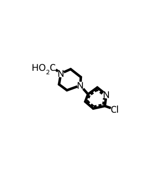 O=C(O)N1CCN(c2ccc(Cl)nc2)CC1